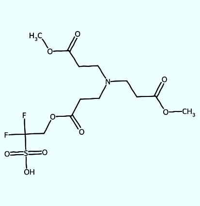 COC(=O)CCN(CCC(=O)OC)CCC(=O)OCC(F)(F)S(=O)(=O)O